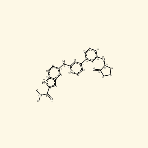 CN(C)C(=O)c1cc2cc(Nc3nccc(-c4cc(O[C@H]5CCCC5=O)ccn4)n3)ccc2[nH]1